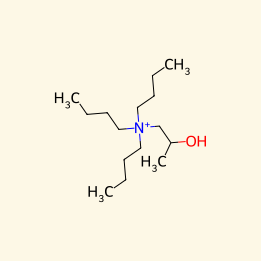 CCCC[N+](CCCC)(CCCC)CC(C)O